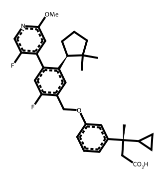 COc1cc(-c2cc(F)c(COc3cccc([C@@](C)(CC(=O)O)C4CC4)c3)cc2[C@H]2CCCC2(C)C)c(F)cn1